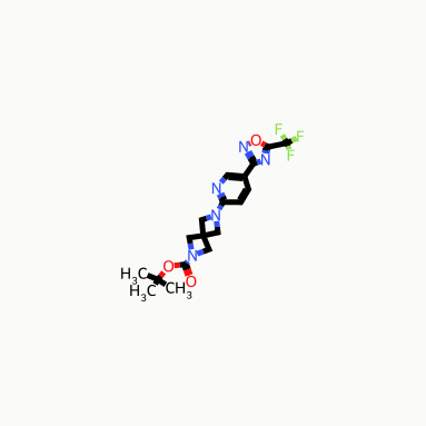 CC(C)(C)OC(=O)N1CC2(C1)CN(c1ccc(-c3noc(C(F)(F)F)n3)cn1)C2